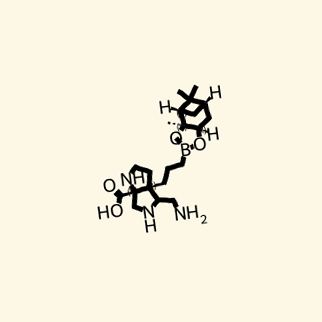 CC1(C)[C@@H]2C[C@H]3OB(CCC[C@]45CCN[C@@]4(C(=O)O)CNC5CN)O[C@@]3(C)[C@H]1C2